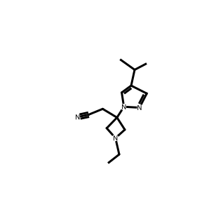 CCN1CC(CC#N)(n2cc(C(C)C)cn2)C1